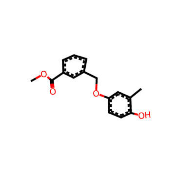 COC(=O)c1cccc(COc2ccc(O)c(C)c2)c1